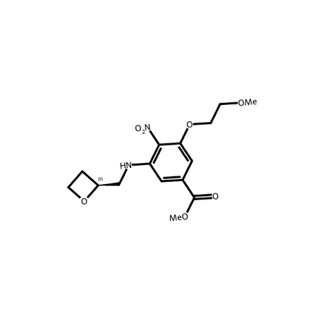 COCCOc1cc(C(=O)OC)cc(NC[C@@H]2CCO2)c1[N+](=O)[O-]